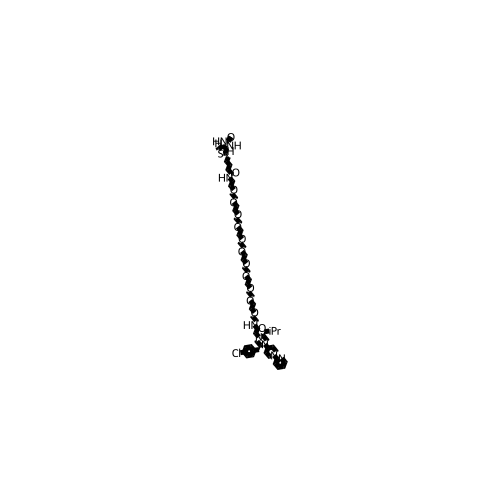 CC(C)C[C@H]1CN(C2CCN(c3ccccn3)CC2)[C@@H](Cc2ccc(Cl)cc2)CN1CC(=O)NCCOCCOCCOCCOCCOCCOCCOCCOCCOCCOCCOCCNC(=O)CCCC[C@@H]1SC[C@@H]2NC(=O)N[C@@H]21